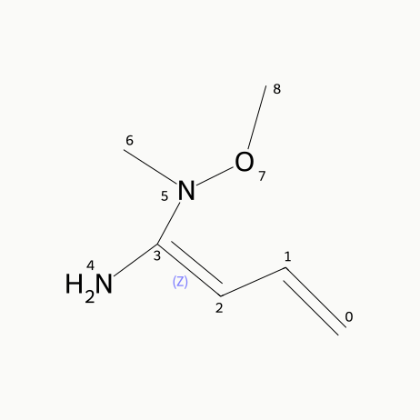 C=C/C=C(/N)N(C)OC